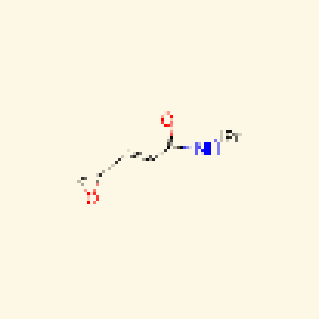 CC(C)NC(=O)C=CC1CO1